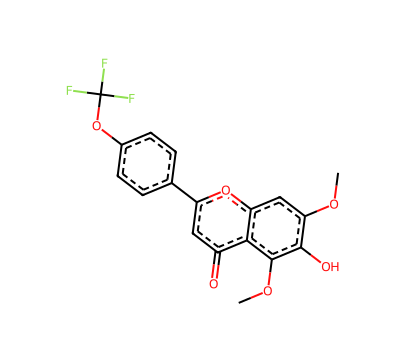 COc1cc2oc(-c3ccc(OC(F)(F)F)cc3)cc(=O)c2c(OC)c1O